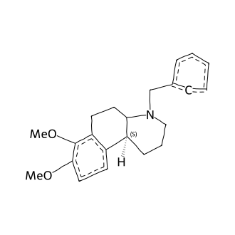 COc1ccc2c(c1OC)CCC1[C@H]2CCCN1Cc1ccccc1